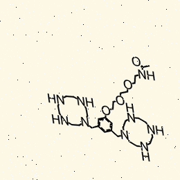 CC(=O)NCCOCCOCCOc1cc(CN2CCNCCNCCNCC2)cc(CN2CCNCCNCCNCC2)c1